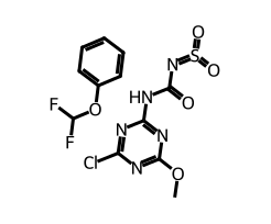 COc1nc(Cl)nc(NC(=O)N=S(=O)=O)n1.FC(F)Oc1ccccc1